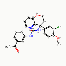 COC(=O)c1cccc(NC(=O)NC2(c3ccc(OC(F)(F)F)c(F)c3)CCOc3cccnc32)c1